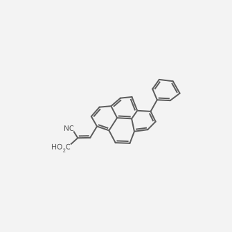 N#C/C(=C\c1ccc2ccc3c(-c4ccccc4)ccc4ccc1c2c43)C(=O)O